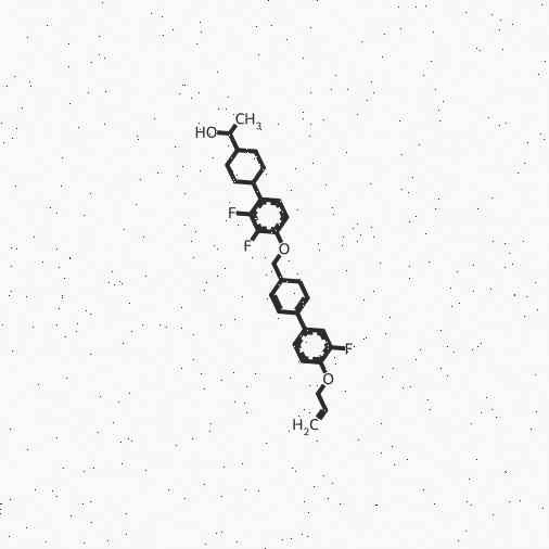 C=CCOc1ccc(C2=CCC(COc3ccc(C4CCC(C(C)O)CC4)c(F)c3F)C=C2)cc1F